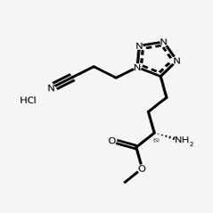 COC(=O)[C@@H](N)CCc1nnnn1CCC#N.Cl